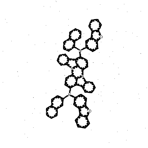 c1ccc2cc(N(c3ccc4oc5ccccc5c4c3)c3ccc4c5c3c3ccccc3n5c3ccc(N(c5ccc6oc7ccccc7c6c5)c5cccc6ccccc56)c5c6ccccc6n4c53)ccc2c1